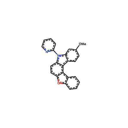 COc1ccc2c3c4c(ccc3n(-c3ccccn3)c2c1)oc1ccccc14